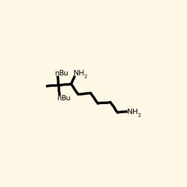 CCCCC(C)(CCCC)C(N)CCCCCN